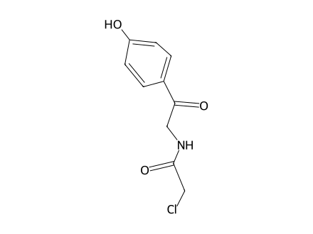 O=C(CCl)NCC(=O)c1ccc(O)cc1